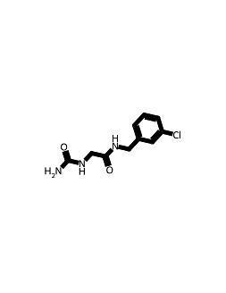 NC(=O)NCC(=O)NCc1cccc(Cl)c1